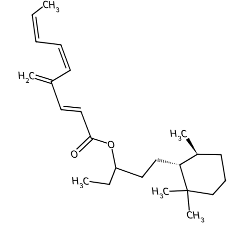 C=C(/C=C\C=C/C)/C=C/C(=O)OC(CC)CC[C@@H]1[C@@H](C)CCCC1(C)C